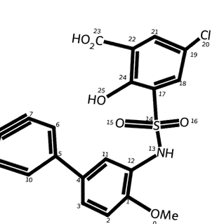 COc1ccc(-c2cc#ccc2)cc1NS(=O)(=O)c1cc(Cl)cc(C(=O)O)c1O